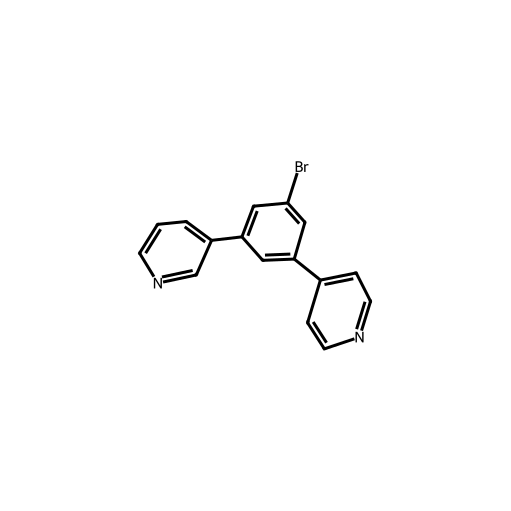 Brc1cc(-c2ccncc2)cc(-c2cccnc2)c1